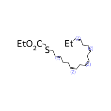 CC/C=C\C/C=C\C/C=C\C/C=C\CC/C=C/CSCC(=O)OCC